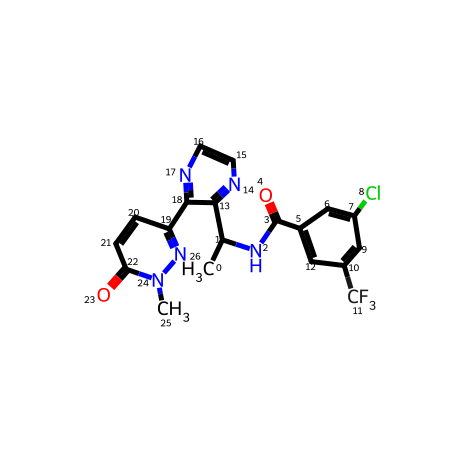 CC(NC(=O)c1cc(Cl)cc(C(F)(F)F)c1)c1nccnc1-c1ccc(=O)n(C)n1